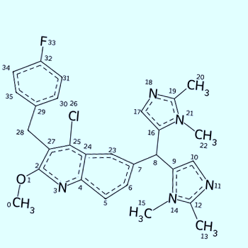 COc1nc2ccc(C(c3cnc(C)n3C)c3cnc(C)n3C)cc2c(Cl)c1Cc1ccc(F)cc1